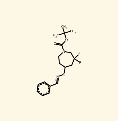 CC(C)(C)OC(=O)N1CCC(O/N=C/c2ccccc2)CC(F)(F)C1